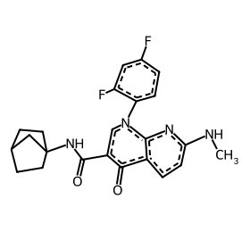 CNc1ccc2c(=O)c(C(=O)NC34CCC(CC3)C4)cn(-c3ccc(F)cc3F)c2n1